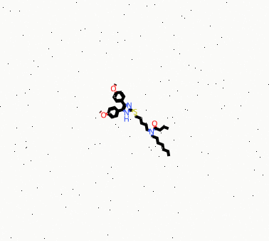 CCCCCCCN(CCCCCSc1nc(-c2ccc(OC)cc2)c(-c2ccc(OC)cc2)[nH]1)C(=O)CCC